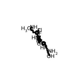 C[C@H](N)CCCc1cc(Cl)c(F)c(-c2cc3cn(-c4ccc(CNCC[C@@H](N)CCO)cc4)c(=O)nc3[nH]2)c1